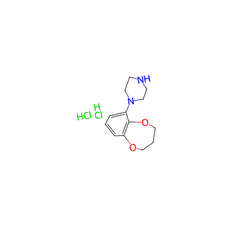 Cl.Cl.c1cc2c(c(N3CCNCC3)c1)OCCCO2